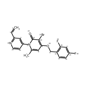 C=Cc1cc(-n2c(C)cc(OCc3ccc(F)cc3F)c(Br)c2=O)ccn1